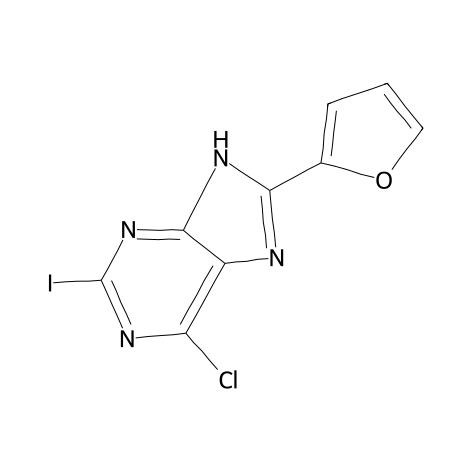 Clc1nc(I)nc2[nH]c(-c3ccco3)nc12